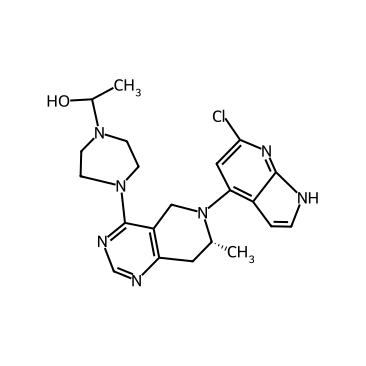 CC(O)N1CCN(c2ncnc3c2CN(c2cc(Cl)nc4[nH]ccc24)[C@H](C)C3)CC1